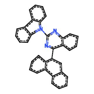 c1ccc2c(c1)cc(-c1nc(-n3c4ccccc4c4ccccc43)nc3ccccc13)c1ccccc12